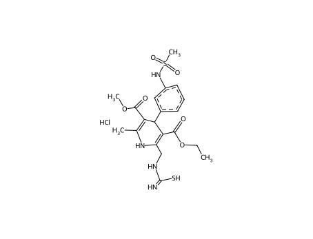 CCOC(=O)C1=C(CNC(=N)S)NC(C)=C(C(=O)OC)C1c1cccc(NS(C)(=O)=O)c1.Cl